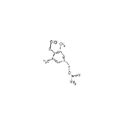 Cc1cc(COC(N)=O)cc(C)c1OC=O